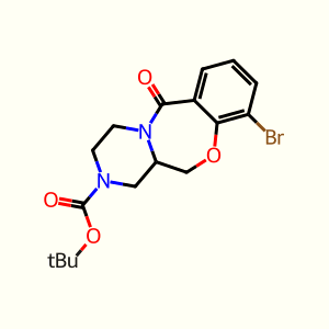 CC(C)(C)OC(=O)N1CCN2C(=O)c3cccc(Br)c3OCC2C1